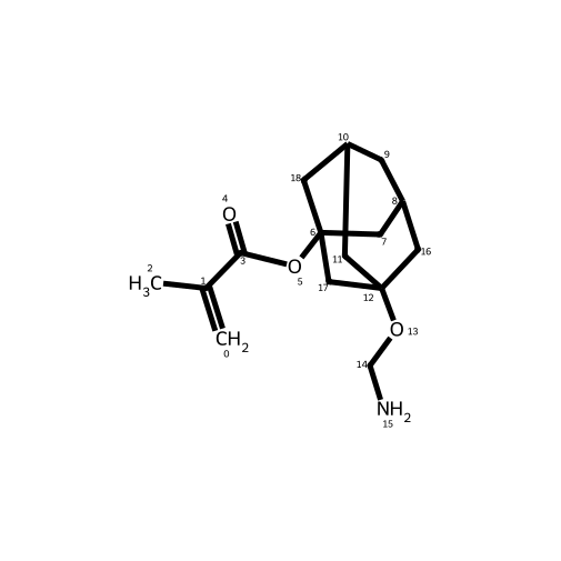 C=C(C)C(=O)OC12CC3CC(CC(OCN)(C3)C1)C2